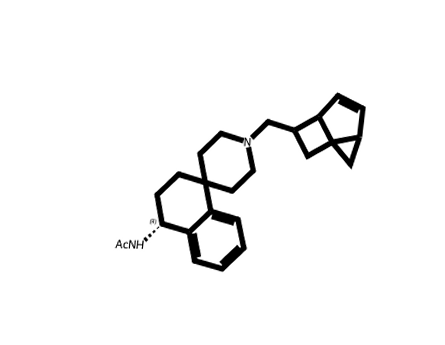 CC(=O)N[C@@H]1CCC2(CCN(CC3CC45CC4C=CC35)CC2)c2ccccc21